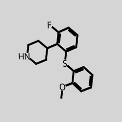 COc1ccccc1Sc1cccc(F)c1C1CCNCC1